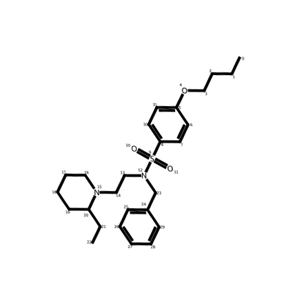 CCCCOc1ccc(S(=O)(=O)N(CCN2CCCCC2CC)Cc2ccccc2)cc1